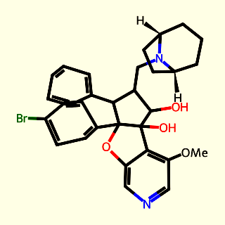 COc1cncc2c1C1(O)C(O)C(CN3[C@@H]4CCC[C@H]3CC4)C(c3ccccc3)C1(c1ccc(Br)cc1)O2